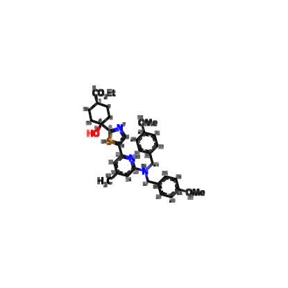 CCOC(=O)[C@H]1CC[C@](O)(c2ncc(-c3cc(C)cc(N(Cc4ccc(OC)cc4)Cc4ccc(OC)cc4)n3)s2)CC1